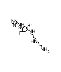 NCCCNCCCCNc1cc(F)c(SNc2ncns2)cc1Br